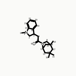 CN1CC(CC(=O)N2CC3(C)CC2CC(C)(C)C3)c2ccccc21